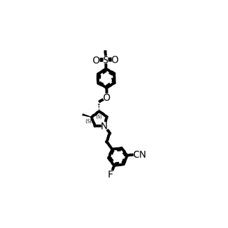 C[C@@H]1CN(CCc2cc(F)cc(C#N)c2)C[C@H]1COc1ccc(S(C)(=O)=O)cc1